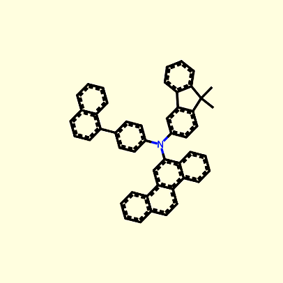 CC1(C)c2ccccc2-c2cc(N(c3ccc(-c4cccc5ccccc45)cc3)c3cc4c5ccccc5ccc4c4ccccc34)ccc21